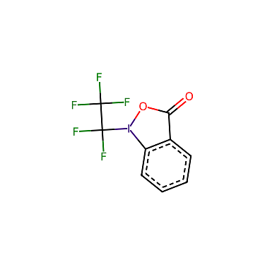 O=C1OI(C(F)(F)C(F)(F)F)c2ccccc21